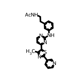 CC(=O)NCCc1cccc(Nc2nccc(-c3sc(-c4cccnc4)nc3C)n2)c1